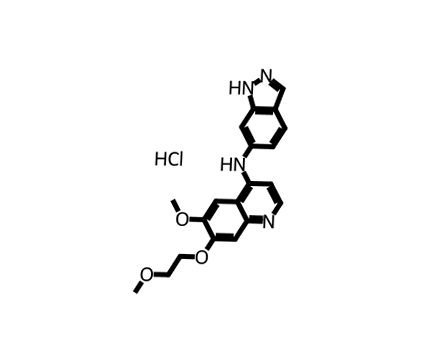 COCCOc1cc2nccc(Nc3ccc4cn[nH]c4c3)c2cc1OC.Cl